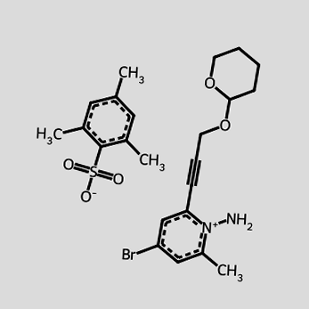 Cc1cc(Br)cc(C#CCOC2CCCCO2)[n+]1N.Cc1cc(C)c(S(=O)(=O)[O-])c(C)c1